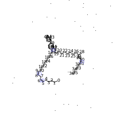 CCCCC/C=C\C/C=C\CCCCCCCC/C(CCCCCCCCC(C)C/C=C\CCCCC)=N\OCCN(C)C